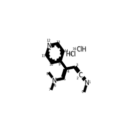 CN=C=C/C(=C/N(C)C)c1ccncc1.Cl.Cl